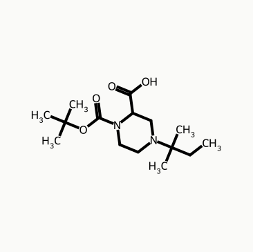 CCC(C)(C)N1CCN(C(=O)OC(C)(C)C)C(C(=O)O)C1